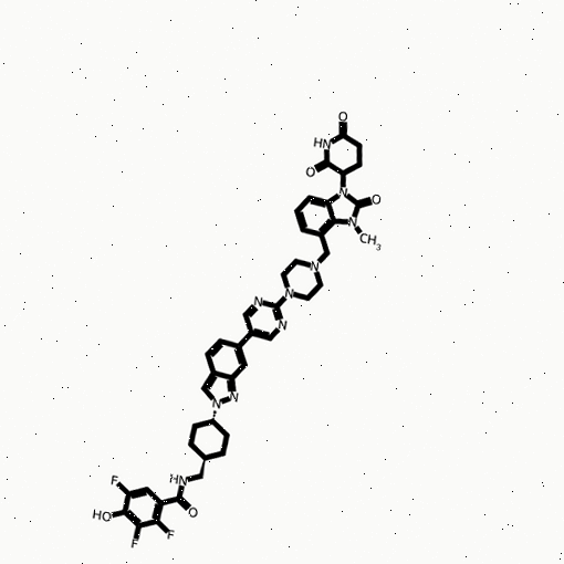 Cn1c(=O)n(C2CCC(=O)NC2=O)c2cccc(CN3CCN(c4ncc(-c5ccc6cn([C@H]7CC[C@H](CNC(=O)c8cc(F)c(O)c(F)c8F)CC7)nc6c5)cn4)CC3)c21